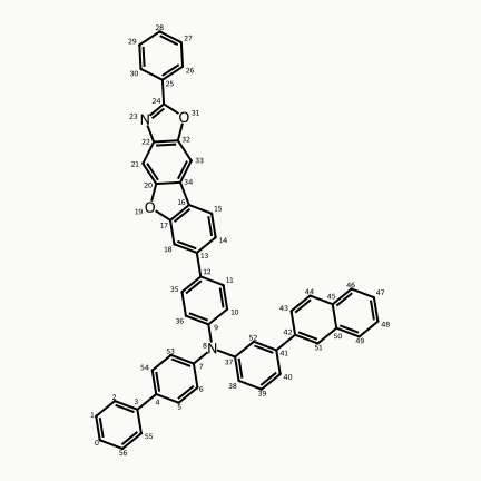 c1ccc(-c2ccc(N(c3ccc(-c4ccc5c(c4)oc4cc6nc(-c7ccccc7)oc6cc45)cc3)c3cccc(-c4ccc5ccccc5c4)c3)cc2)cc1